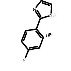 Br.Fc1ccc(-c2ncc[nH]2)cc1